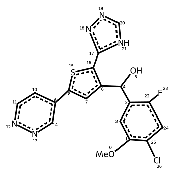 COc1cc(C(O)c2cc(-c3ccnnc3)sc2-c2nnc[nH]2)c(F)cc1Cl